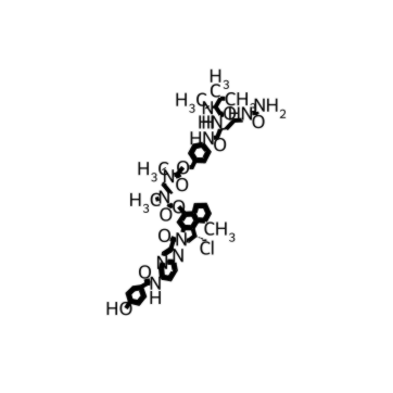 CN[C@H](C(=O)N[C@@H](CCCNC(N)=O)C(=O)Nc1ccc(COC(=O)N(C)CCN(C)C(=O)Oc2cc3c(c4c(C)cccc24)[C@H](CCl)CN3C(=O)c2cn3cc(NC(=O)c4ccc(O)cc4)ccc3n2)cc1)C(C)C